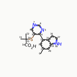 Cc1cc(-c2ncncc2SC(C)(C)C(=O)O)c2cc[nH]c2c1